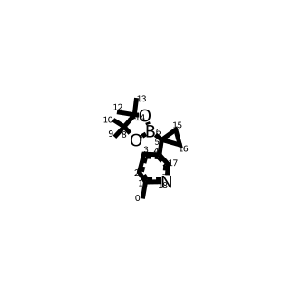 Cc1ccc(C2(B3OC(C)(C)C(C)(C)O3)CC2)cn1